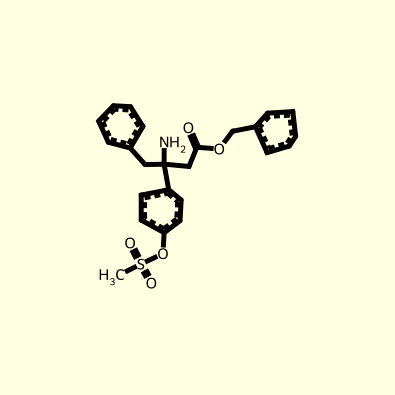 CS(=O)(=O)Oc1ccc(C(N)(CC(=O)OCc2ccccc2)Cc2ccccc2)cc1